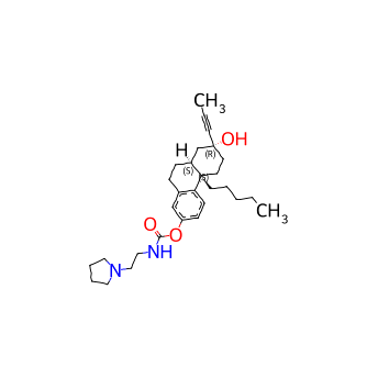 CC#C[C@@]1(O)CC[C@]2(CCCCC)c3ccc(OC(=O)NCCN4CCCC4)cc3CC[C@H]2C1